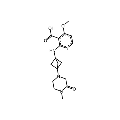 COc1ccnc(NC23CC(N4CCN(C)C(=O)C4)(C2)C3)c1C(=O)O